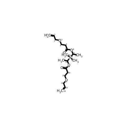 C=CCOCCC(=O)OC(C)[N+](C)(C)C(C)OC(=O)CCOCC=C